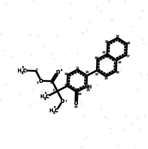 CCOC(=O)C(C)(OC)c1ccc(-c2ccc3ccccc3c2)[nH]c1=O